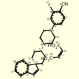 N#Cc1ccc(N2CCN([C@H]3CC[C@@]4(C=Cc5ccccc54)CC3)CC2)cc1F.O=C(O)/C=C\C(=O)O